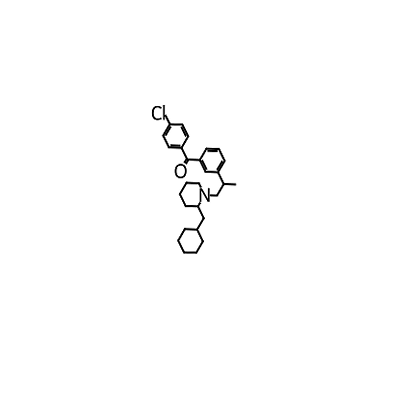 CC(CN1CCCCC1CC1CCCCC1)c1cccc(C(=O)c2ccc(Cl)cc2)c1